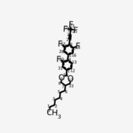 CCCCCCCC1COC(c2ccc(-c3cc(F)c(C#CC(F)(F)F)c(F)c3)c(F)c2)OC1